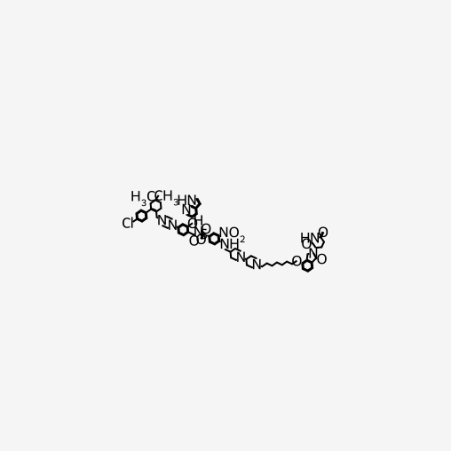 CC1(C)CCC(CN2CCN(c3ccc(C(=O)NS(=O)(=O)c4ccc(NCC5CCN(C6CCN(CCCCCCCOc7cccc8c7CN(C7CCC(=O)NC7=O)C8=O)CC6)CC5)c([N+](=O)[O-])c4)c(Oc4cnc5[nH]ccc5c4)c3)CC2)=C(c2ccc(Cl)cc2)C1